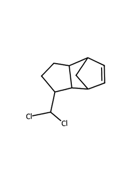 ClC(Cl)C1CCC2C3C=CC(C3)C12